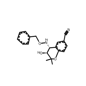 CC1(C)Oc2ccc(C#N)cc2[C@@H](NOCc2ccccc2)[C@@H]1O